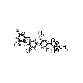 Cc1cc(C(=O)NS(C)(=O)=O)c(F)cc1-c1cnc(Oc2c(F)cc(F)cc2Cl)c(Cl)c1